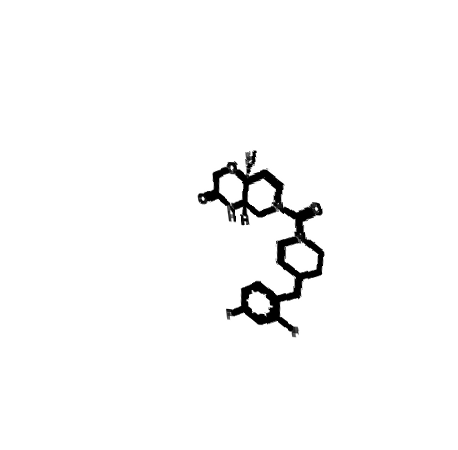 O=C1CO[C@H]2CCN(C(=O)N3CCC(Cc4ccc(F)cc4F)CC3)C[C@@H]2N1